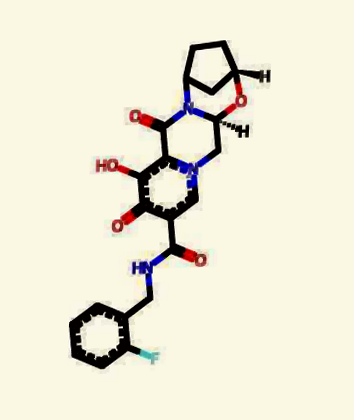 O=C(NCc1ccccc1F)c1cn2c(c(O)c1=O)C(=O)N1C3CC[C@@H](C3)O[C@H]1C2